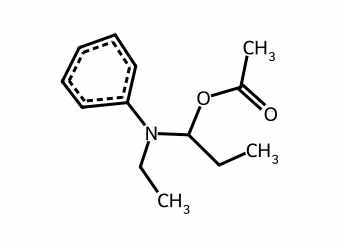 CCC(OC(C)=O)N(CC)c1ccccc1